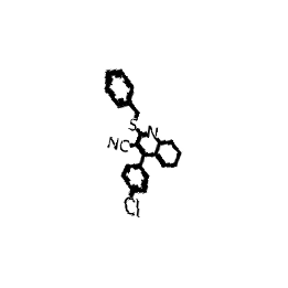 N#CC1=C(c2ccc(Cl)cc2)C2=CCCCC2N=C1SCc1ccccc1